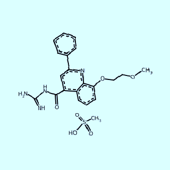 COCCOc1cccc2c(C(=O)NC(=N)N)cc(-c3ccccc3)nc12.CS(=O)(=O)O